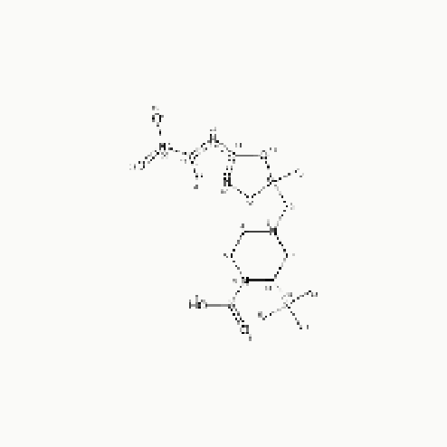 CC1(CN2CCN(C(=O)O)[C@@H](C(C)(C)C)C2)Cn2cc([N+](=O)[O-])nc2O1